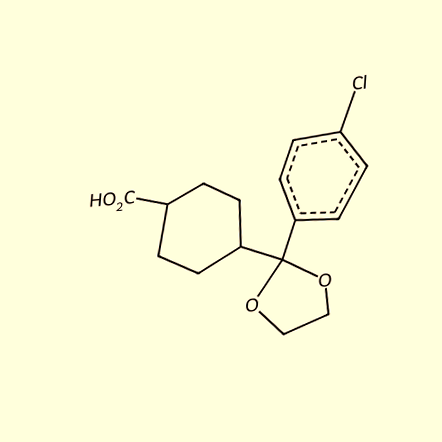 O=C(O)C1CCC(C2(c3ccc(Cl)cc3)OCCO2)CC1